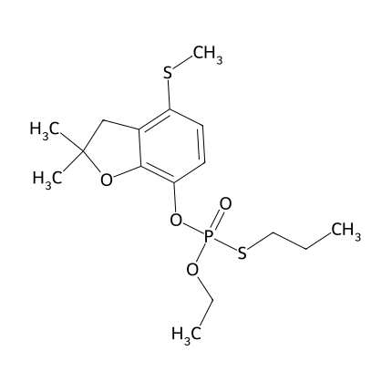 CCCSP(=O)(OCC)Oc1ccc(SC)c2c1OC(C)(C)C2